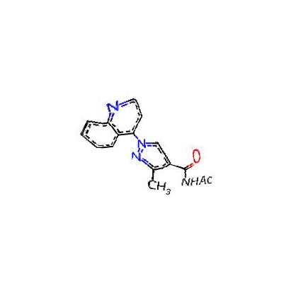 CC(=O)NC(=O)c1cn(-c2ccnc3ccccc23)nc1C